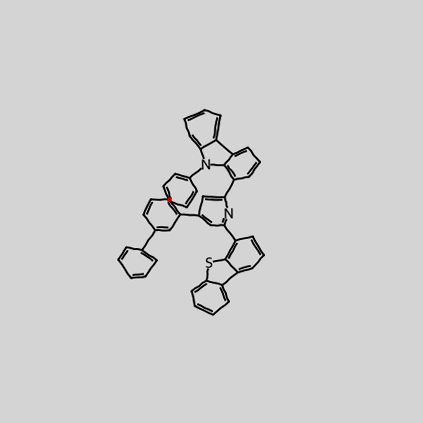 c1ccc(-c2cccc(-c3cc(-c4cccc5c4sc4ccccc45)nc(-c4cccc5c6ccccc6n(-c6ccccc6)c45)c3)c2)cc1